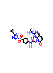 CNc1ncc2ccc(=O)n(CC(=O)Nc3ccc(S(=O)(=O)n4cnc(C5CC5)n4)cc3)c2n1